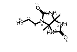 CC12NC(=O)NC1(C)N(CCS)C(=O)N2